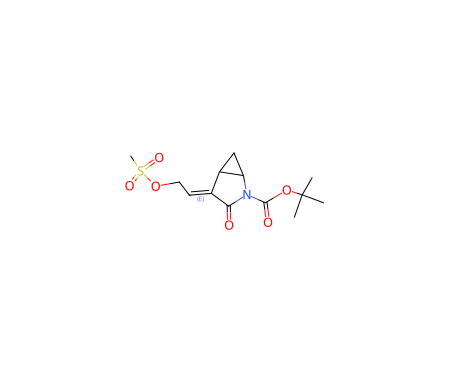 CC(C)(C)OC(=O)N1C(=O)/C(=C/COS(C)(=O)=O)C2CC21